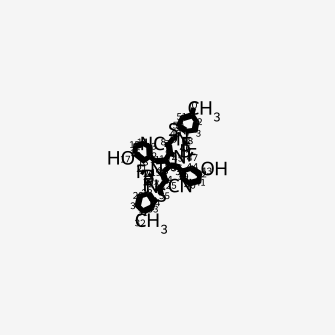 Cc1ccc2nc(/C(C#N)=c3/c4c(-c5cccc(O)c5)n(B(F)F)/c(=C(/C#N)c5nc6ccc(C)cc6s5)c4c(-c4cccc(O)c4)n3B(F)F)sc2c1